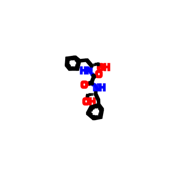 O=C(N[C@@H](CO)Cc1ccccc1)C(=O)N[C@@H](CO)Cc1ccccc1